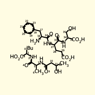 CCC(C)C(NC(=O)C(C)NC(=O)CC(C)O)C(=O)O.NC(Cc1ccccc1)C(=O)NC(CCC(=O)O)C(=O)NC(CO)C(=O)O